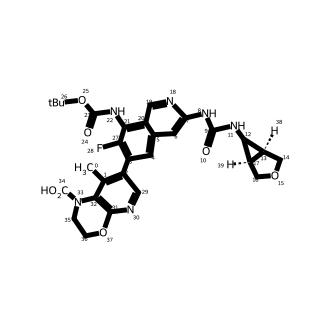 Cc1c(-c2cc3cc(NC(=O)NC4[C@H]5COC[C@@H]45)ncc3c(NC(=O)OC(C)(C)C)c2F)cnc2c1N(C(=O)O)CCO2